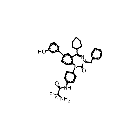 CC(C)[C@H](N)C(=O)Nc1ccc(N2C(=O)N(Cc3ccccc3)N=C(C3CCCCC3)c3cc(-c4cccc(O)c4)ccc32)cc1